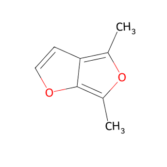 Cc1oc(C)c2occc12